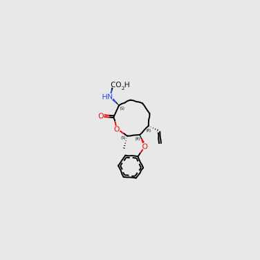 C=C[C@H]1CCC[C@H](NC(=O)O)C(=O)O[C@@H](C)[C@@H]1Oc1ccccc1